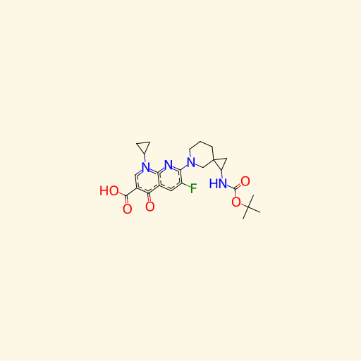 CC(C)(C)OC(=O)NC1CC12CCCN(c1nc3c(cc1F)c(=O)c(C(=O)O)cn3C1CC1)C2